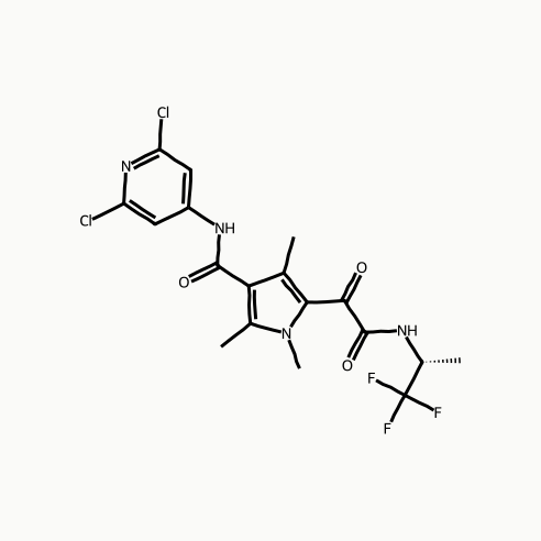 Cc1c(C(=O)Nc2cc(Cl)nc(Cl)c2)c(C)n(C)c1C(=O)C(=O)N[C@H](C)C(F)(F)F